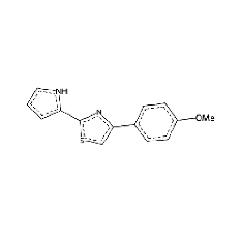 COc1ccc(-c2csc(-c3ccc[nH]3)n2)cc1